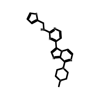 CN1CCN(c2nccn3c(-c4ccnc(NCc5cccs5)n4)cnc23)CC1